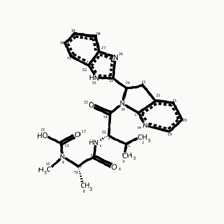 CC(C)[C@H](NC(=O)[C@H](C)N(C)C(=O)O)C(=O)N1c2ncccc2CC1c1nc2ccccc2[nH]1